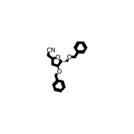 N#CCC1C[C@H](OCc2ccccc2)[C@@H](COCc2ccccc2)O1